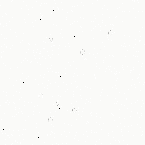 CC1=COC1=O.CC[N+](C)(C)CCCS(=O)(=O)[O-]